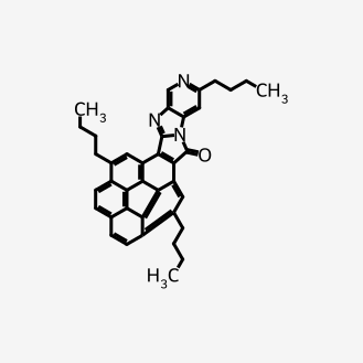 CCCCc1cc2c(cn1)nc1c3c4cc(CCCC)c5ccc6ccc7c(CCCC)cc(c3c(=O)n21)c1c7c6c5c41